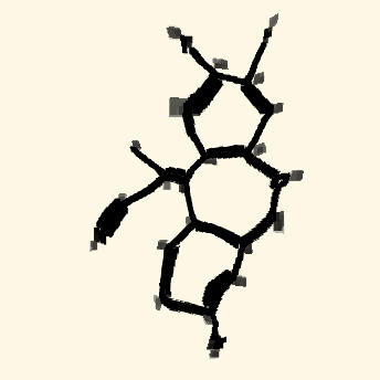 CC(C#N)=C1c2ccc(Br)cc2COc2cc(F)c(F)cc21